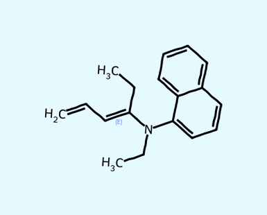 C=C/C=C(\CC)N(CC)c1cccc2ccccc12